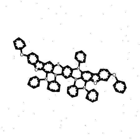 c1ccc(Oc2ccc3c(c2)oc2c4c5c(cc23)Sc2cc3c(cc2B5c2ccccc2N4c2ccccc2)B2c4ccccc4N(c4ccccc4)c4c2c(cc2c4oc4cc(Oc5ccccc5)ccc42)N3c2ccccc2)cc1